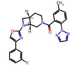 Cc1ccc(-n2nccn2)c(C(=O)N2CC[C@H]3CN(c4nc(-c5cccc(F)c5)co4)[C@H]3C2)c1